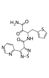 NC(=O)C(=O)C(Cc1cccs1)NC(=O)c1nsnc1-c1ccncn1